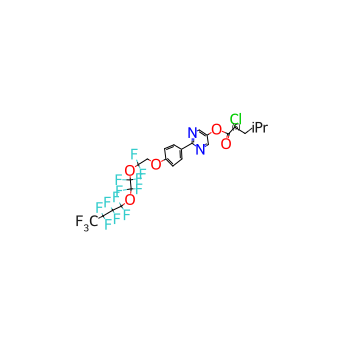 CC(C)C[C@H](Cl)C(=O)Oc1cnc(-c2ccc(OCC(F)(F)OC(F)(F)C(F)(F)OC(F)(F)C(F)(F)C(F)(F)C(F)(F)F)cc2)nc1